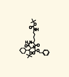 CC(C)(C)OC(=O)NCCCC[C@H](N)C(=O)N(C(=O)OCc1ccccc1)[C@H]([C]=O)C(OC(C)(C)C)C1CCCCC1